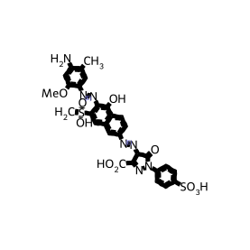 C=S(=O)(O)c1cc2cc(/N=N/C3C(=O)N(c4ccc(S(=O)(=O)O)cc4)N=C3C(=O)O)ccc2c(O)c1/N=N/c1cc(C)c(N)cc1OC